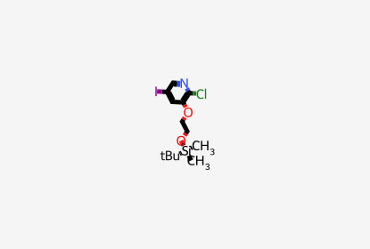 CC(C)(C)[Si](C)(C)OCCOc1cc(I)cnc1Cl